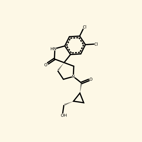 O=C([C@@H]1C[C@@H]1CO)N1CC[C@]2(C1)C(=O)Nc1cc(Cl)c(Cl)cc12